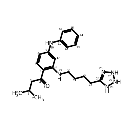 CC(C)CC(=O)c1ccc(Nc2ccccc2)cc1NCCCCC1=NNNN1